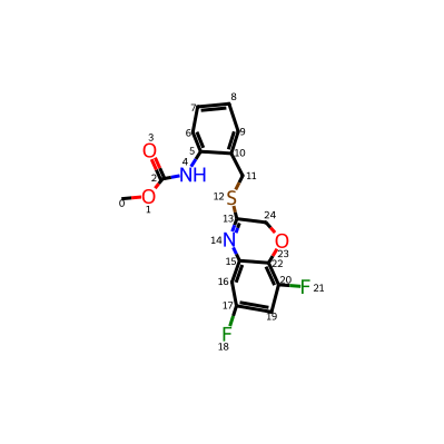 COC(=O)Nc1ccccc1CSC1=Nc2cc(F)cc(F)c2OC1